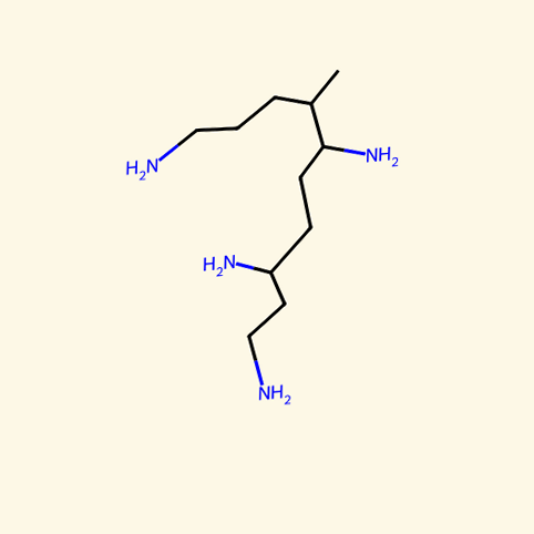 CC(CCCN)C(N)CCC(N)CCN